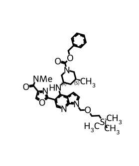 CNC(=O)c1coc(-c2cnc3c(ccn3COCC[Si](C)(C)C)c2N[C@@H]2C[C@H](C)CN(C(=O)OCc3ccccc3)C2)n1